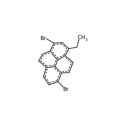 CCc1cc(Br)c2ccc3ccc(Br)c4ccc1c2c34